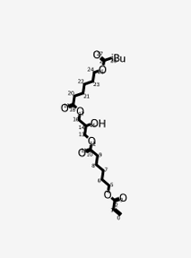 C=CC(=O)OCCCCCC(=O)OCC(O)COC(=O)CCCCCOC(=O)C(C)CC